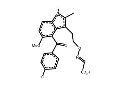 COc1ccc2[nH]c(C)c(CCON=CC(=O)O)c2c1C(=O)c1ccc(Cl)cc1